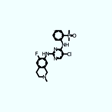 CN1CCc2cc(F)c(Nc3ncc(Cl)c(Nc4cc[c]cc4P(C)(C)=O)n3)cc2C1